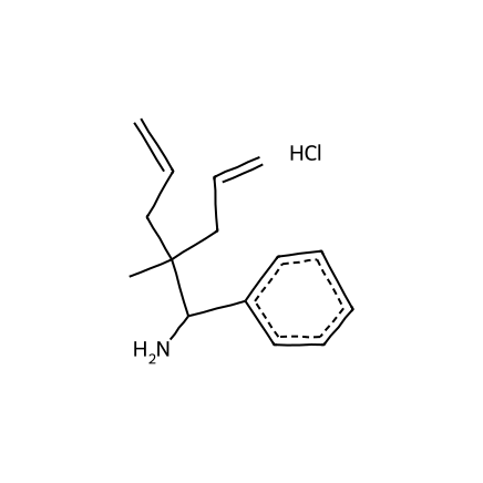 C=CCC(C)(CC=C)C(N)c1ccccc1.Cl